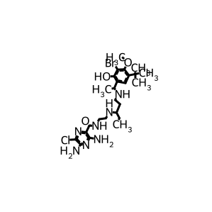 CCC(CCNC(C)c1cc(C(C)(C)C)c(OC)c(Br)c1O)NCCNC(=O)c1nc(Cl)c(N)nc1N